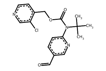 CC(C)(C)N(C(=O)OCc1ccncc1Cl)c1ccc(C=O)cn1